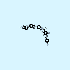 COc1ccc(COc2c(F)cc(C(=O)NC[C@H]3CC[C@H](n4cc5ccc(-c6ccc7c(n6)CNC7)cc5n4)CC3)c(F)c2F)cc1